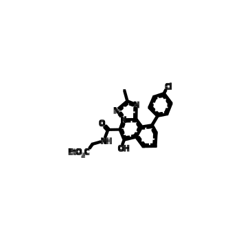 CCOC(=O)CNC(=O)c1c(O)c2cccc(-c3ccc(Cl)cc3)c2c2nc(C)nn12